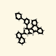 c1ccc(-c2cccc(-c3nc(-c4cccc5ccccc45)nc4oc5c6ccccc6c6ccccc6c5c34)c2)cc1